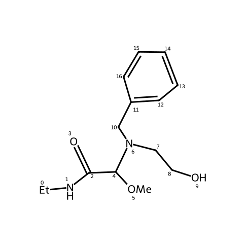 CCNC(=O)C(OC)N(CCO)Cc1ccccc1